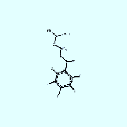 CC(C[SiH2]OC(O)O)c1c(F)c(F)c(F)c(F)c1F